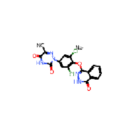 N#Cc1nn(-c2cc(Cl)c(Oc3n[nH]c(=O)c4ccccc34)c(Cl)c2)c(=O)[nH]c1=O.[Na]